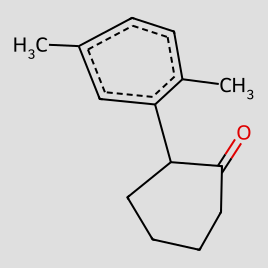 Cc1ccc(C)c(C2CCCCC2=O)c1